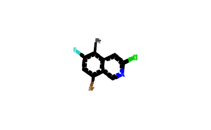 CC(C)c1c(F)cc(Br)c2cnc(Cl)cc12